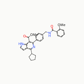 COC(=O)c1c(-c2ccc(CNC(=O)c3ccccc3OC)cc2)nc(C2CCCC2)c2cc[nH]c12